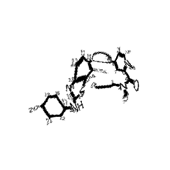 CCN(C)C(=O)c1cc(Oc2ccc3nc(NC4CCCCC4)sc3c2)ccn1